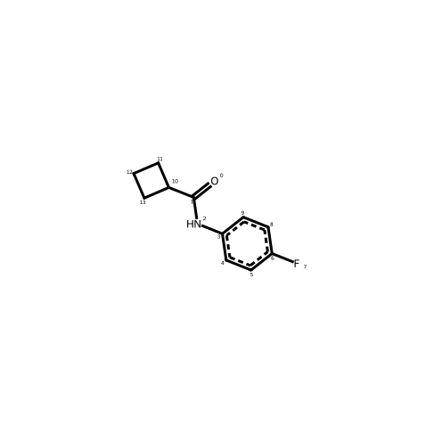 O=C(Nc1ccc(F)cc1)C1C[CH]C1